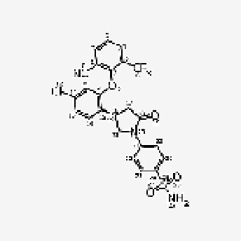 N#Cc1cccc(C(F)(F)F)c1Oc1cc(Cl)ccc1[C@H]1CC(=O)N(c2ccc(S(N)(=O)=O)cc2)C1